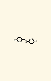 Ic1ccc(CSc2ccc(I)cc2)cc1